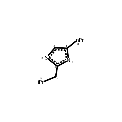 CCCc1csc(CC(C)C)n1